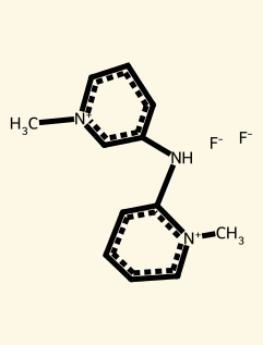 C[n+]1cccc(Nc2cccc[n+]2C)c1.[F-].[F-]